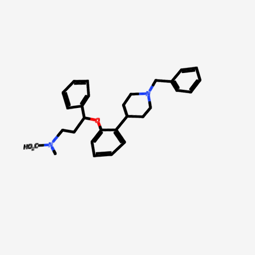 CN(CCC(Oc1ccccc1C1CCN(Cc2ccccc2)CC1)c1ccccc1)C(=O)O